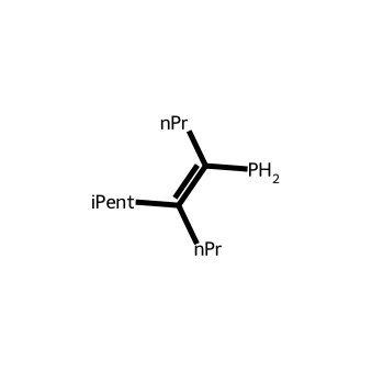 CCCC(P)=C(CCC)C(C)CCC